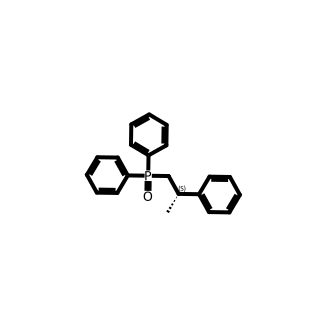 C[C@H](CP(=O)(c1ccccc1)c1ccccc1)c1ccccc1